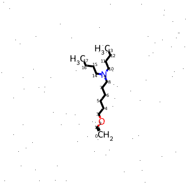 C=COCCCCCCN(CCCC)CCCC